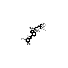 C=C1/C(=C\C=C2CCC[C@@]3(C)C2CC[C@@H]3C(C)(C)CCCC(O)(CC)CC)C[C@@H](O)C[C@H]1O